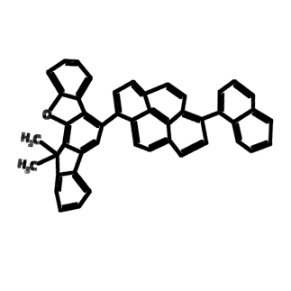 CC1(C)c2ccccc2-c2cc(-c3ccc4ccc5c(-c6cccc7ccccc67)ccc6ccc3c4c65)c3c(oc4ccccc43)c21